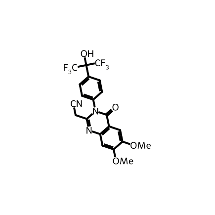 COc1cc2nc(CC#N)n(-c3ccc(C(O)(C(F)(F)F)C(F)(F)F)cc3)c(=O)c2cc1OC